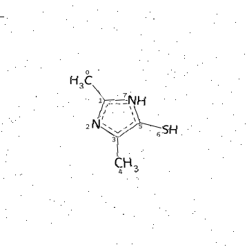 Cc1nc(C)c(S)[nH]1